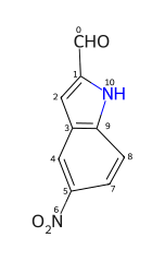 O=Cc1cc2cc([N+](=O)[O-])ccc2[nH]1